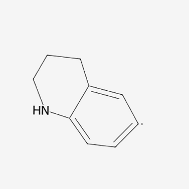 [c]1ccc2c(c1)CCCN2